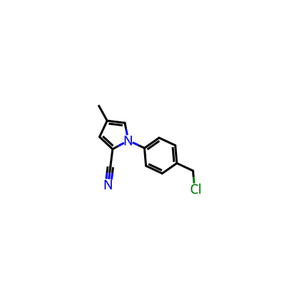 Cc1cc(C#N)n(-c2ccc(CCl)cc2)c1